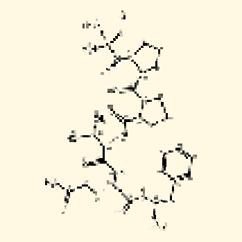 CCCCCC[C@](N)(CS)C(=O)N1CCC[C@H]1C(=O)N1CCC[C@H]1C(=O)N[C@H](C(=O)N[C@@H](CCC(N)=O)C(=O)N[C@@H](Cc1ccccc1)C(=O)O)[C@@H](C)O